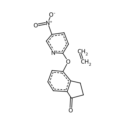 C=C.O=C1CCc2c(Oc3ccc([N+](=O)[O-])cn3)cccc21